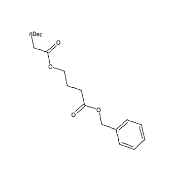 CCCCCCCCCCCC(=O)OCCCC(=O)OCc1ccccc1